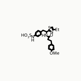 CCc1csc(C(Cc2ccc(NS(=O)(=O)O)cc2)NC(=O)CCc2ccc(OC)cc2)n1